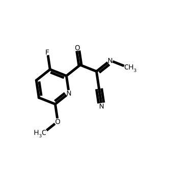 C/N=C(\C#N)C(=O)c1nc(OC)ccc1F